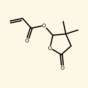 C=CC(=O)OC1OC(=O)CC1(C)C